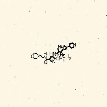 Cc1ncc(C(=O)NCCN2CCOCC2)cc1Nc1nn(C)c2c1cnn1cc(-c3ccncc3)cc21